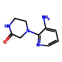 Nc1cccnc1N1CCNC(=O)C1